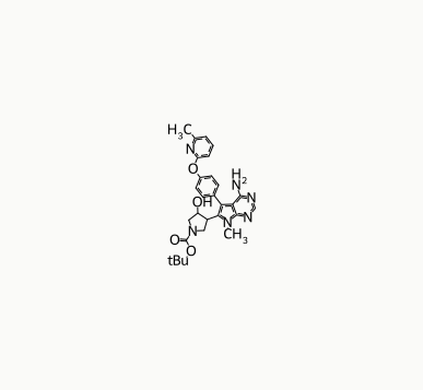 Cc1cccc(Oc2ccc(-c3c(C4CN(C(=O)OC(C)(C)C)CC4O)n(C)c4ncnc(N)c34)cc2)n1